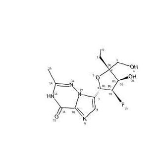 CC[C@]1(CO)O[C@@H](c2cnc3c(=O)[nH]c(C)nn23)[C@H](F)[C@@H]1O